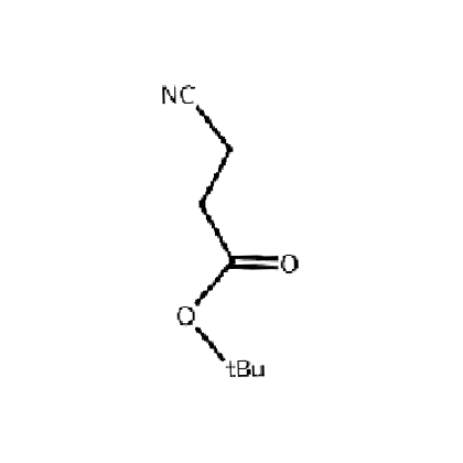 CC(C)(C)OC(=O)CCC#N